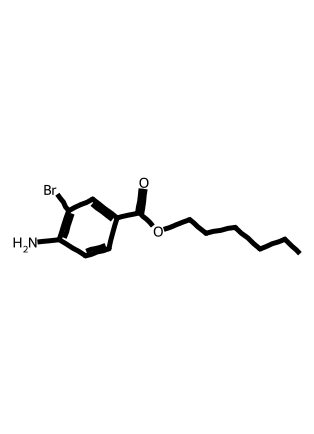 CCCCCCOC(=O)c1ccc(N)c(Br)c1